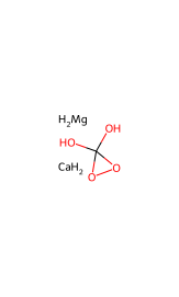 OC1(O)OO1.[CaH2].[MgH2]